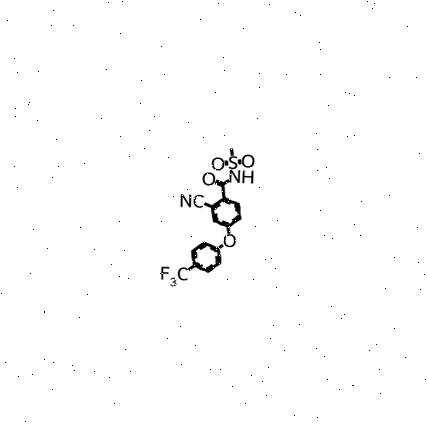 CS(=O)(=O)NC(=O)c1ccc(Oc2ccc(C(F)(F)F)cc2)cc1C#N